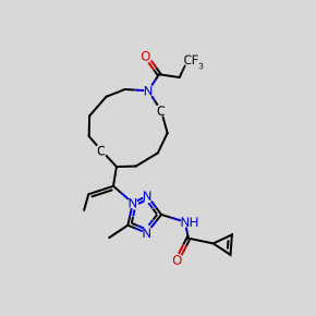 C/C=C(/C1CCCCCN(C(=O)CC(F)(F)F)CCCC1)n1nc(NC(=O)C2C=C2)nc1C